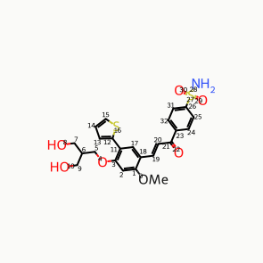 COc1cc(OCC(CO)CO)c(-c2cccs2)cc1C=CC(=O)c1ccc(S(N)(=O)=O)cc1